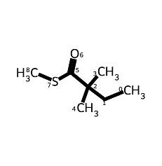 CCC(C)(C)C(=O)SC